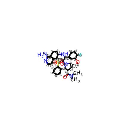 CCOc1cc(C(Nc2ccc3c(N)nccc3c2)C(=O)N2CC[C@H](C(=O)N(C)C)[C@@H]2c2ccccc2S(=O)(=O)CC)ccc1F